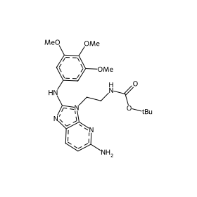 COc1cc(Nc2nc3ccc(N)nc3n2CCNC(=O)OC(C)(C)C)cc(OC)c1OC